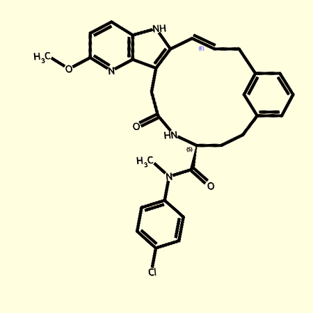 COc1ccc2[nH]c3c(c2n1)CC(=O)N[C@H](C(=O)N(C)c1ccc(Cl)cc1)CCc1cccc(c1)C/C=C/3